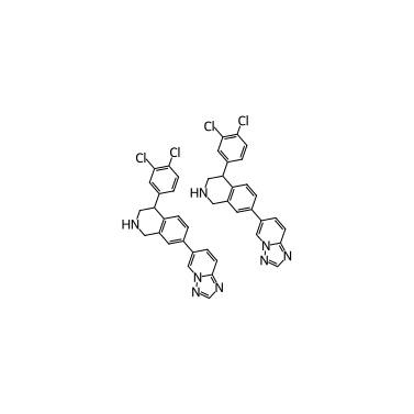 Clc1ccc(C2CNCc3cc(-c4ccc5ncnn5c4)ccc32)cc1Cl.Clc1ccc(C2CNCc3cc(-c4ccc5ncnn5c4)ccc32)cc1Cl